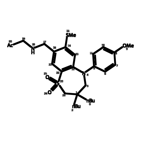 CCCCC1(CCCC)CN(c2ccc(OC)cc2)c2cc(SC)c(CNCC(C)=O)cc2S(=O)(=O)C1